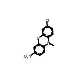 CN1c2ccc(Cl)cc2Sc2cc([N+](=O)[O-])ccc21